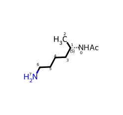 CC(=O)N[C@@H](C)CCCCN